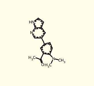 CC(=O)c1cc(-c2cnc3[nH]ccc3c2)ccc1N(C)C